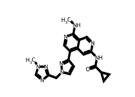 CNc1ncc(-c2ccn(Cc3ncn(C)n3)n2)c2cc(NC(=O)C3CC3)ncc12